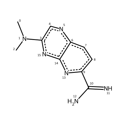 CN(C)c1cnc2ccc(C(=N)N)nc2n1